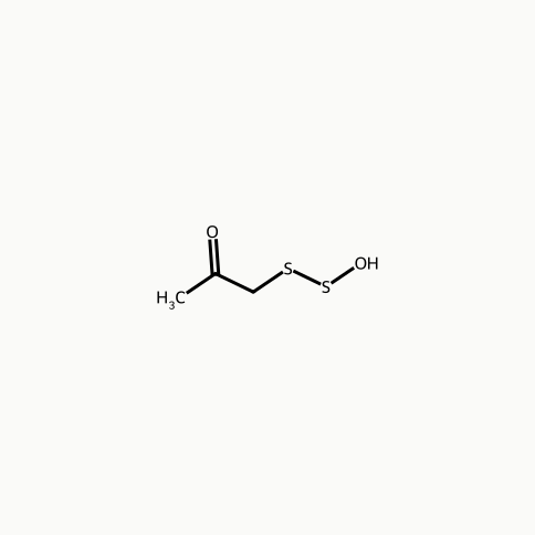 CC(=O)CSSO